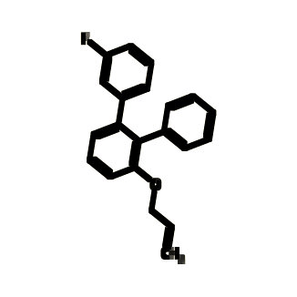 C=CCOc1cccc(-c2cccc(F)c2)c1-c1ccccc1